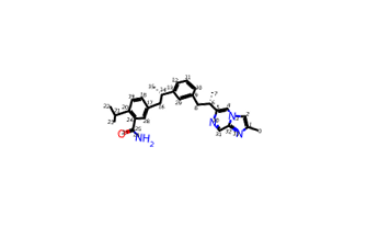 Cc1cn2cc([C@@H](C)Cc3cccc([C@@H](C)Cc4ccc(C(C)C)c(C(N)=O)c4)c3)ncc2n1